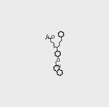 CN(C)C(=O)CCSC(CCCc1ccccc1)c1ccc(OCc2ccc3ccccc3n2)cc1